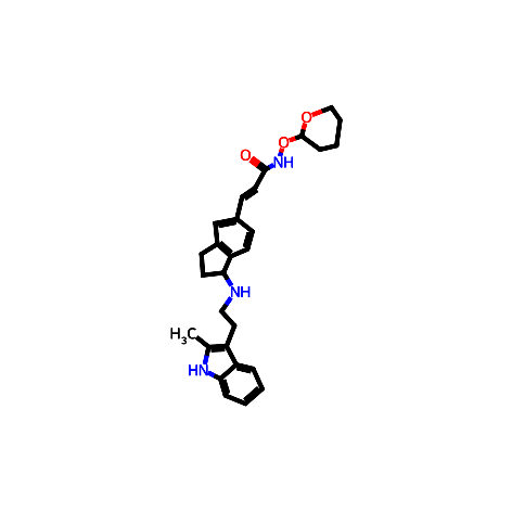 Cc1[nH]c2ccccc2c1CCNC1CCc2cc(/C=C/C(=O)NOC3CCCCO3)ccc21